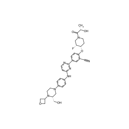 C[C@H](O)C(=O)N1CC[C@H](Oc2ccc(-c3nccc(Nc4ccc(N5CCN(C6COC6)[C@@H](CO)C5)cc4)n3)cc2C#N)[C@H](F)C1